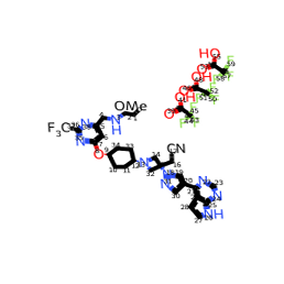 COCCNCc1cc(O[C@H]2CC[C@@H](N3CC(CC#N)(n4cc(-c5ncnc6[nH]ccc56)cn4)C3)CC2)nc(C(F)(F)F)n1.O=C(O)C(F)(F)F.O=C(O)C(F)(F)F.O=C(O)C(F)(F)F